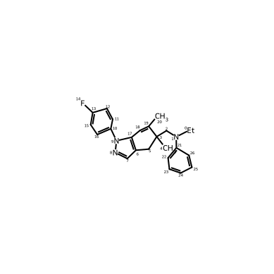 CCN(CC1(C)Cc2cnn(-c3ccc(F)cc3)c2C=C1C)c1ccccc1